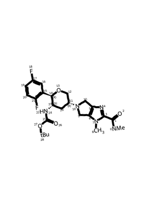 CNC(=O)c1nc2c(n1C)CN([C@H]1CO[C@H](c3cc(F)ccc3F)[C@@H](NC(=O)OC(C)(C)C)C1)C2